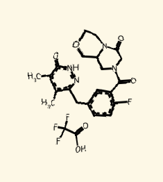 Cc1c(Cc2ccc(F)c(C(=O)N3CC(=O)N4CCOCC4C3)c2)n[nH]c(=O)c1C.O=C(O)C(F)(F)F